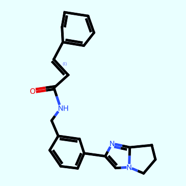 O=C(/C=C/c1ccccc1)NCc1cccc(-c2cn3c(n2)CCC3)c1